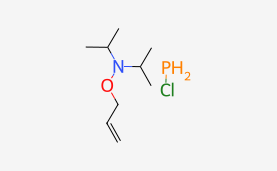 C=CCON(C(C)C)C(C)C.PCl